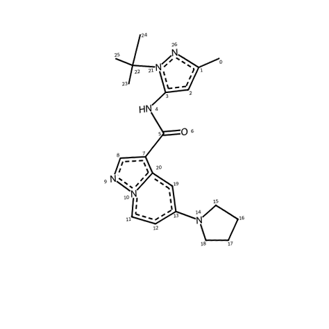 Cc1cc(NC(=O)c2cnn3ccc(N4CCCC4)cc23)n(C(C)(C)C)n1